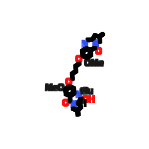 C=C1C[C@H]2[C@H](O)N(C(C)(C)C)c3cc(OCCCCCOc4cc5c(cc4OC)C(=O)N4CC(C)CC4C=N5)c(OC)cc3C(=O)N2C1